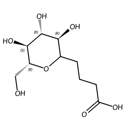 O=C(O)CCCC1O[C@H](CO)[C@@H](O)[C@H](O)[C@H]1O